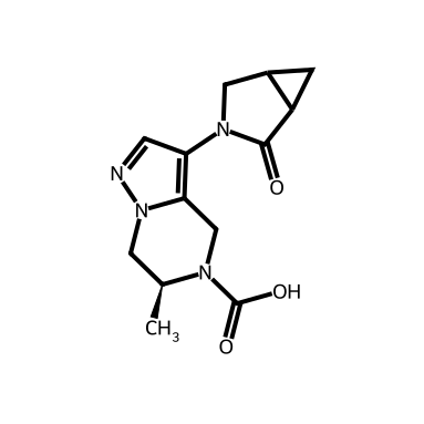 C[C@H]1Cn2ncc(N3CC4CC4C3=O)c2CN1C(=O)O